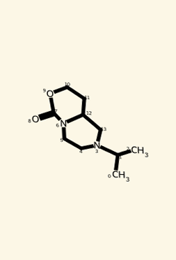 CC(C)N1CCN2C(=O)OCCC2C1